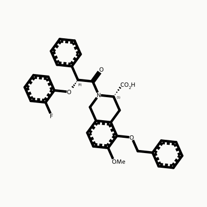 COc1ccc2c(c1OCc1ccccc1)C[C@@H](C(=O)O)N(C(=O)[C@H](Oc1ccccc1F)c1ccccc1)C2